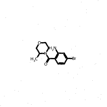 CC1COCCN1C(=O)c1ccc(Br)cc1N